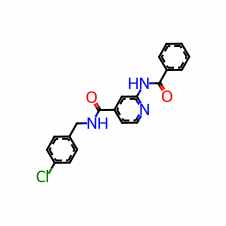 O=C(NCc1ccc(Cl)cc1)c1ccnc(NC(=O)c2ccccc2)c1